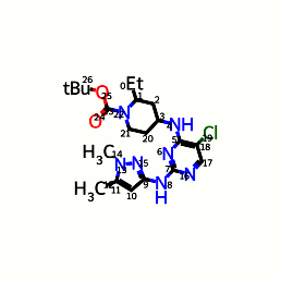 CCC1CC(Nc2nc(Nc3cc(C)n(C)n3)ncc2Cl)CCN1C(=O)OC(C)(C)C